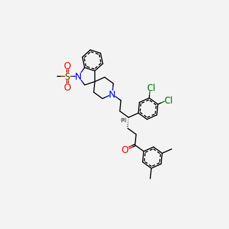 Cc1cc(C)cc(C(=O)CC[C@H](CCN2CCC3(CC2)CN(S(C)(=O)=O)c2ccccc23)c2ccc(Cl)c(Cl)c2)c1